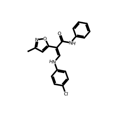 Cc1cc(/C(=C\Nc2ccc(Cl)cc2)C(=O)Nc2ccccc2)on1